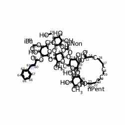 CCCCCCCCCC(=O)O[C@H]1[C@H](O[C@@H]2[C@@H](O)[C@H]3OC(=O)CCCCCCCCC[C@H](CCCCC)O[C@@H]4O[C@H](C)[C@H](O)[C@H](O)[C@H]4O[C@@H]3O[C@H]2C)O[C@@H](C)[C@H](O[C@@H]2O[C@@H](C)[C@H](OC(=O)[C@@H](C)CC)[C@@H](O)[C@H]2OC(=O)/C=C/c2ccccc2)[C@H]1O[C@@H]1O[C@H](CO)[C@@H](O)[C@H](O)[C@H]1O